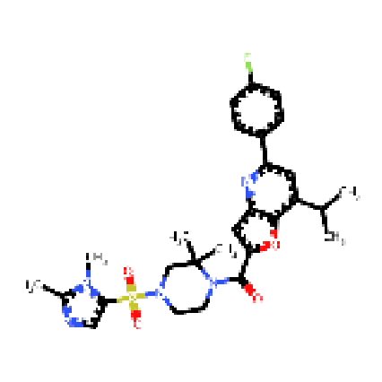 Cc1ncc(S(=O)(=O)N2CCN(C(=O)c3cc4nc(-c5ccc(F)cc5)cc(C(C)C)c4o3)C(C)(C)C2)n1C